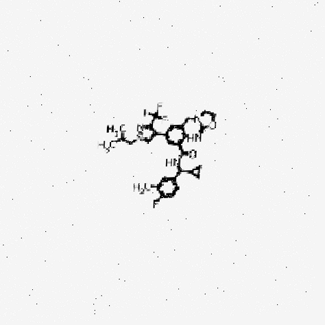 Cc1cc(C(NC(=O)c2cc(CN3CCOC3=N)cc(-c3cn(CC(C)C)nc3C(F)(F)F)c2)C2CC2)ccc1F